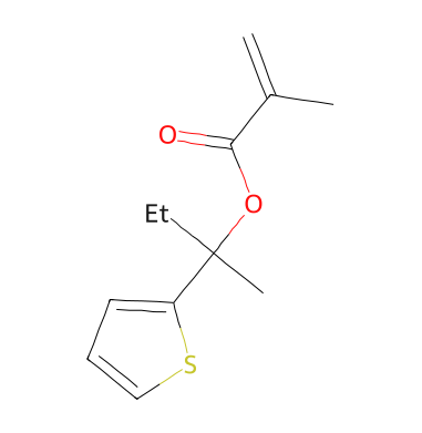 C=C(C)C(=O)OC(C)(CC)c1cccs1